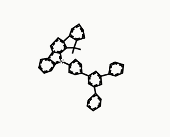 CC1(C)c2ccccc2-c2ccc3c4ccccc4n(-c4ccc(-c5cc(-c6ccccc6)cc(-c6ccccc6)c5)cc4)c3c21